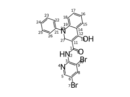 O=C(Nc1ncc(Br)cc1Br)C1=C(O)c2ccccc2N(c2ccccc2)C1